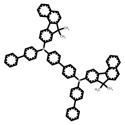 CC1(C)c2cc(N(c3ccc(-c4ccccc4)cc3)c3ccc(-c4ccc(N(c5ccc(-c6ccccc6)cc5)c5ccc6c(c5)C(C)(C)c5ccc7ccccc7c5-6)cc4)cc3)ccc2-c2c1ccc1ccccc21